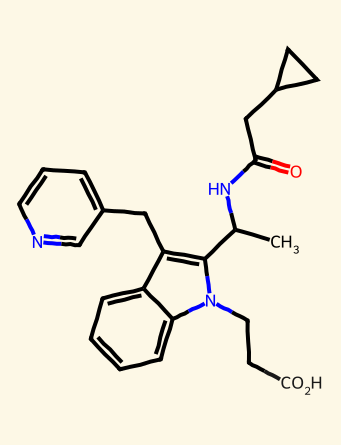 CC(NC(=O)CC1CC1)c1c(Cc2cccnc2)c2ccccc2n1CCC(=O)O